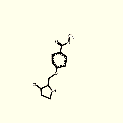 COC(=O)c1ccc(OCC2NCCC2Cl)cc1